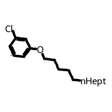 CCCCCCCCCCCCOc1c[c]cc(Cl)c1